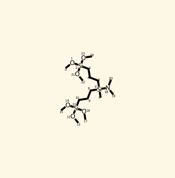 CO[Si](CCC[Si](C)(CCC[Si](OC)(OC)OC)N(C)C)(OC)OC